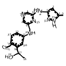 Cc1cc(Nc2cncc(Nc3ccc(Cl)c(C(C)O)c3)n2)n[nH]1